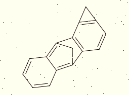 c1ccc2c(c1)=C1CC=2c2c1ccc1c2C1